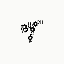 Cc1ccc2c(Nc3cc(OCc4ccc(Br)cc4)ccc3Sc3ccc(O)cc3)ccnc2n1